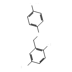 O=Cc1ccc(OCc2cc(C(F)(F)F)ccc2Cl)cc1